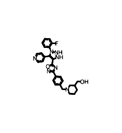 OCC1CCCN(Cc2ccc(-c3noc(C4=C(c5ccncc5)N(c5ccccc5F)NN4)n3)cc2)C1